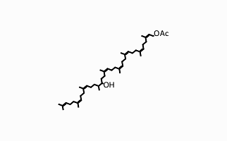 CC(=O)OCC=C(C)CCC=C(C)CCC=C(C)CCC=C(C)CCC=C(C)CCC(O)C(C)CCC=C(C)CCC=C(C)CCC=C(C)C